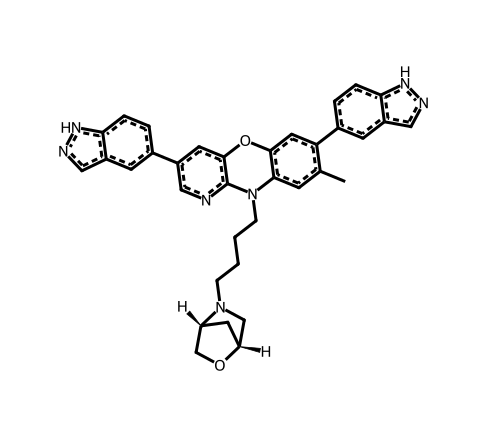 Cc1cc2c(cc1-c1ccc3[nH]ncc3c1)Oc1cc(-c3ccc4[nH]ncc4c3)cnc1N2CCCCN1C[C@H]2C[C@@H]1CO2